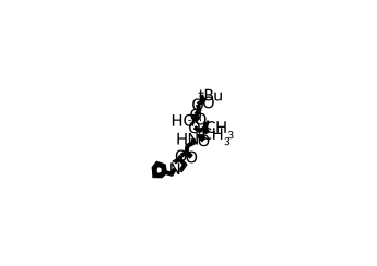 CC(C)(C)C(=O)OCO[P@@]1(O)OCC(C)(C)[C@H](C(=O)NCCC(=O)OC2CCN(Cc3ccccc3)C2)O1